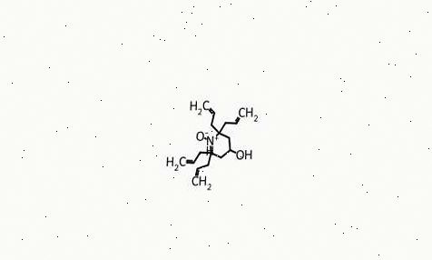 C=CCC1(CC=C)CC(O)CC(CC=C)(CC=C)[NH+]1[O-]